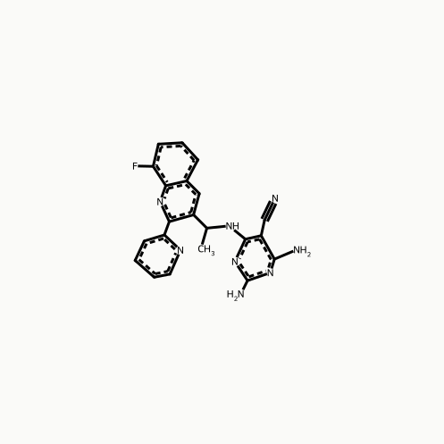 CC(Nc1nc(N)nc(N)c1C#N)c1cc2cccc(F)c2nc1-c1ccccn1